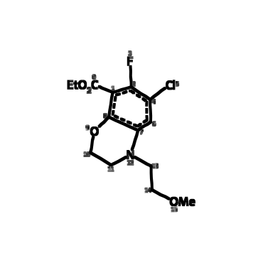 CCOC(=O)c1c(F)c(Cl)cc2c1OCCN2CCOC